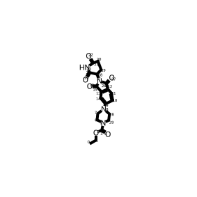 CCOC(=O)N1CCN(c2ccc3c(c2)C(=O)N(C2CCC(=O)NC2=O)C3=O)CC1